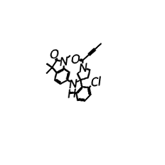 CC#CC(=O)N1CC[C@](Nc2ccc3c(c2)N(C)C(=O)C3(C)C)(c2c(C)cccc2Cl)C1